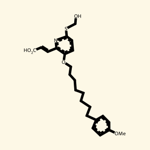 COc1ccc(CCCCCCCCOc2ccc(SCO)nc2C=CC(=O)O)cc1